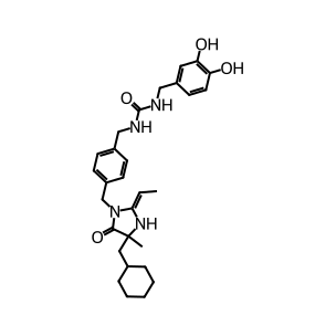 CC=C1NC(C)(CC2CCCCC2)C(=O)N1Cc1ccc(CNC(=O)NCc2ccc(O)c(O)c2)cc1